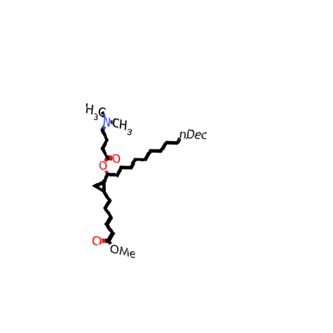 CCCCCCCCCCCCCCCCCCCC(OC(=O)CCCN(C)C)C1CC1CCCCCC(=O)OC